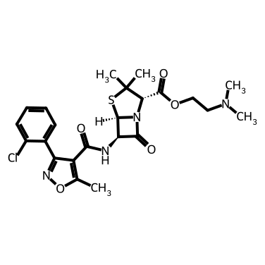 Cc1onc(-c2ccccc2Cl)c1C(=O)N[C@@H]1C(=O)N2[C@@H]1SC(C)(C)[C@@H]2C(=O)OCCN(C)C